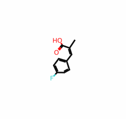 C/C(=C/c1ccc(F)cc1)C(=O)O